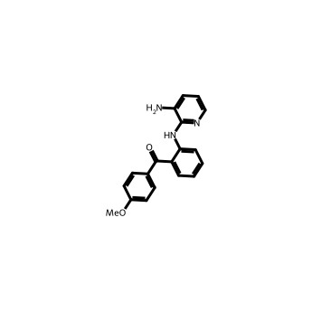 COc1ccc(C(=O)c2ccccc2Nc2ncccc2N)cc1